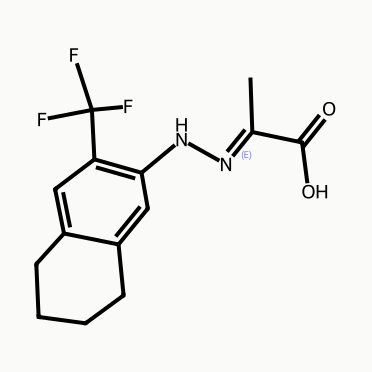 C/C(=N\Nc1cc2c(cc1C(F)(F)F)CCCC2)C(=O)O